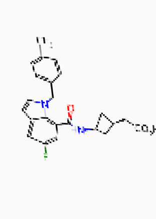 O=C(O)C[C@H]1C[C@@H](NC(=O)c2cc(F)cc3ccn(Cc4ccc(C(F)(F)F)cc4)c23)C1